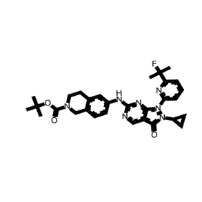 CC(C)(C)OC(=O)N1CCc2cc(Nc3ncc4c(=O)n(C5CC5)n(-c5cccc(C(C)(C)F)n5)c4n3)ccc2C1